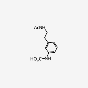 CC(=O)NCCc1cccc(NC(=O)O)c1